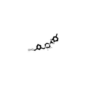 Cc1ccc2nc(N3CCN(Cc4cccc(CC=O)c4)[C@@H](C)[C@H]3C)sc2c1